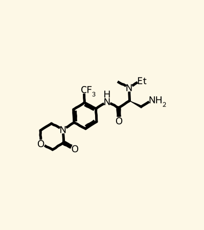 CCN(C)[C@@H](CN)C(=O)Nc1ccc(N2CCOCC2=O)cc1C(F)(F)F